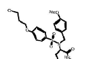 COc1ccc(CN(C(CC(C)C)C(=O)NO)S(=O)(=O)c2ccc(OCCCCl)cc2)cc1